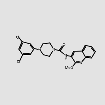 COc1nc2ccccc2cc1NC(=O)N1CCN(c2cc(Cl)cc(Cl)c2)CC1